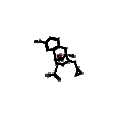 COc1ccc2c(c1)[C@]13CCN(CC4CC4)[C@H](C2)[C@]1(O)C[C@@H](C(N)=O)C3